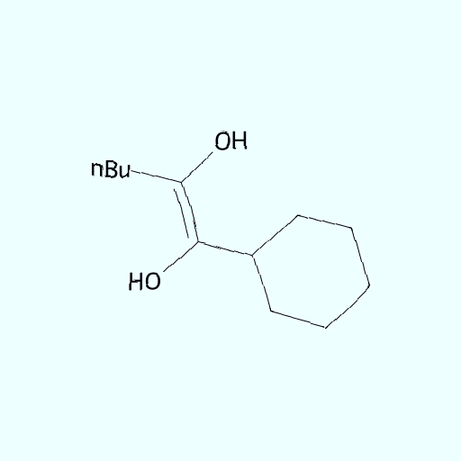 CCCCC(O)=C(O)C1CCCCC1